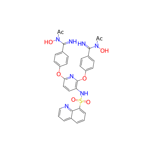 CC(=O)N(O)C(=N)c1ccc(Oc2ccc(NS(=O)(=O)c3cccc4cccnc34)c(Oc3ccc(C(=N)N(O)C(C)=O)cc3)n2)cc1